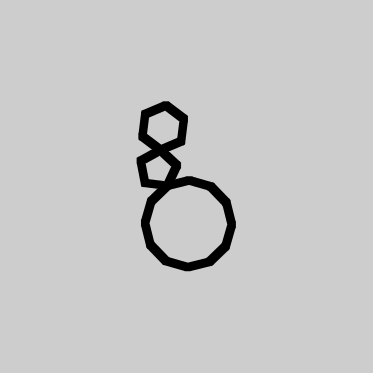 C1CCCCCC2(CCCCC1)CCC1(CCCCC1)C2